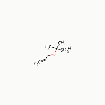 C=CCOC(C)(C)S(=O)(=O)O